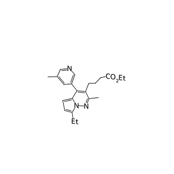 CCOC(=O)CCCc1c(C)nn2c(CC)ccc2c1-c1cncc(C)c1